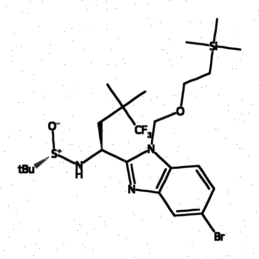 CC(C)(C)[S@+]([O-])N[C@@H](CC(C)(C)C(F)(F)F)c1nc2cc(Br)ccc2n1COCC[Si](C)(C)C